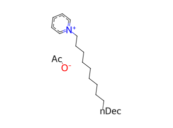 CC(=O)[O-].CCCCCCCCCCCCCCCCCCC[n+]1ccccc1